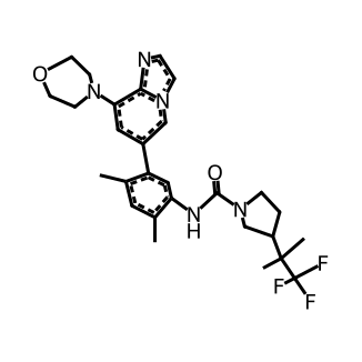 Cc1cc(C)c(-c2cc(N3CCOCC3)c3nccn3c2)cc1NC(=O)N1CCC(C(C)(C)C(F)(F)F)C1